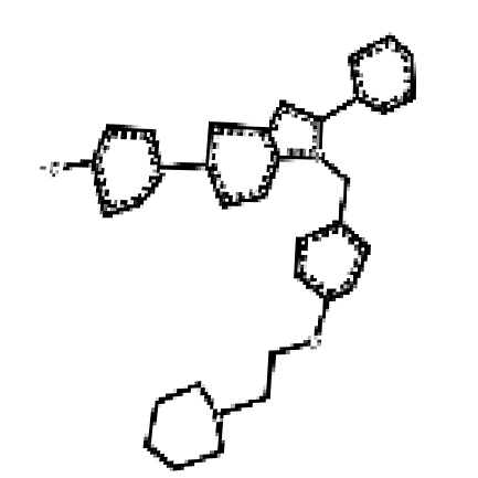 Oc1ccc(-c2ccc3c(c2)cc(-c2ccccc2)n3Cc2ccc(OCCN3CCCCC3)cc2)cc1